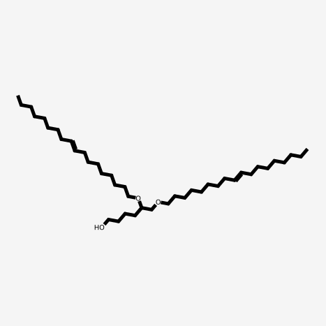 CCCCCCCCC=CCCCCCCCCOCC(CCCCO)OCCCCCCCCC=CCCCCCCCC